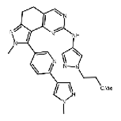 COCCn1cc(Nc2ncc3c(n2)-c2c(nn(C)c2-c2ccc(-c4cnn(C)c4)nc2)CC3)cn1